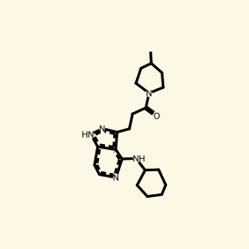 CC1CCN(C(=O)CCc2n[nH]c3ccnc(NC4CCCCC4)c23)CC1